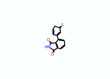 O=C1NC(=O)c2c1cccc2C1=CC(=S)CC=C1